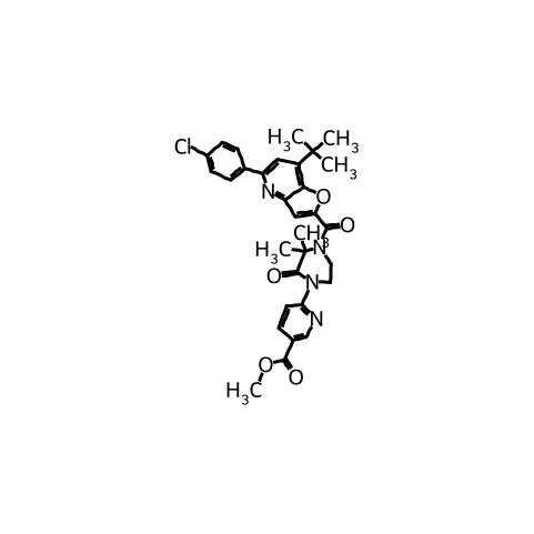 COC(=O)c1ccc(N2CCN(C(=O)c3cc4nc(-c5ccc(Cl)cc5)cc(C(C)(C)C)c4o3)C(C)(C)C2=O)nc1